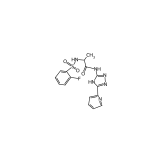 CC(NS(=O)(=O)c1ccccc1F)C(=O)Nc1nnc(-c2ccccn2)[nH]1